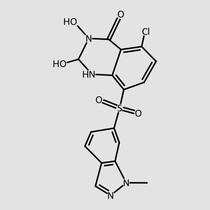 Cn1ncc2ccc(S(=O)(=O)c3ccc(Cl)c4c3NC(O)N(O)C4=O)cc21